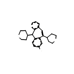 Nc1ccc2c(c1)C(C1CCNCC1)=Cc1cccnc1C2C1CCNCC1